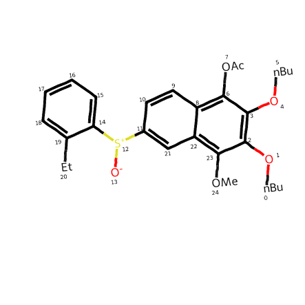 CCCCOc1c(OCCCC)c(OC(C)=O)c2ccc([S+]([O-])c3ccccc3CC)cc2c1OC